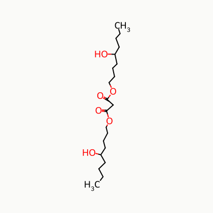 CCCCC(O)CCCCOC(=O)CC(=O)OCCCCC(O)CCCC